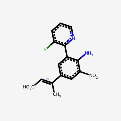 C/C(=C\C(=O)O)c1cc(-c2ncccc2F)c(N)c([N+](=O)[O-])c1